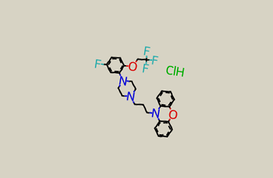 Cl.Fc1ccc(OCC(F)(F)F)c(N2CCN(CCCN3c4ccccc4Oc4ccccc43)CC2)c1